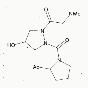 CNCC(=O)N1CC(O)CN1C(=O)N1CCCC1C(C)=O